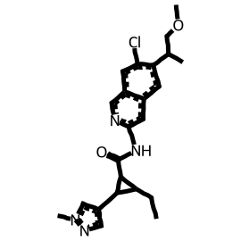 CCC1C(C(=O)Nc2cc3cc(C(C)COC)c(Cl)cc3cn2)C1c1cnn(C)c1